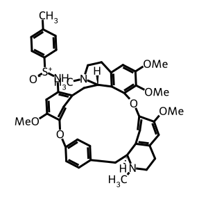 COc1cc(N[S+]([O-])c2ccc(C)cc2)c2cc1Oc1ccc(cc1)C[C@H]1c3cc(c(OC)cc3CCN1C)Oc1c(OC)c(OC)cc3c1[C@H](C2)N(C)CC3